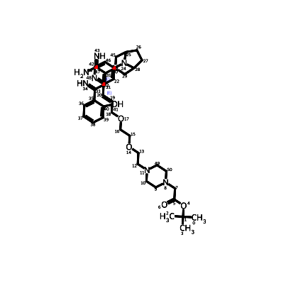 CC(C)(C)OC(=O)CN1CCN(CCOCCOC/C=C/c2cc(N3C4CCC3CN(/C(=C/C(=N)c3ccccc3O)C(=N)N)C4)ccn2)CC1